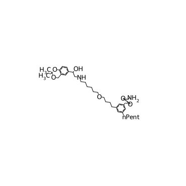 CCCCCc1cc(CCCCOCCCCCCNC[C@H](O)c2ccc3c(c2)COC(C)(C)O3)cc(S(N)(=O)=O)c1